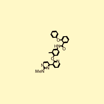 CNc1nccc(-c2cccnc2Oc2ccc(NC(=O)c3ccccc3Oc3ccccc3)cc2C)n1